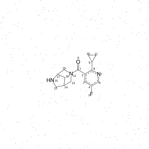 O=C(c1cc(F)cnc1C1CC1)N1CC2CNC(C2)C1